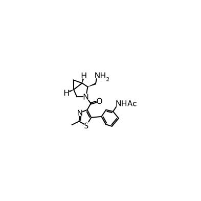 CC(=O)Nc1cccc(-c2sc(C)nc2C(=O)N2C[C@@H]3C[C@@H]3[C@H]2CN)c1